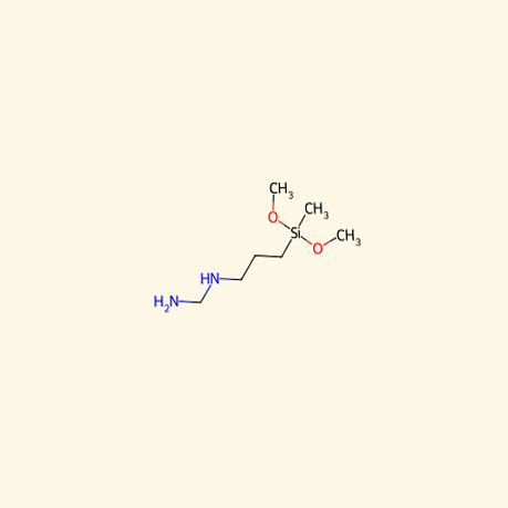 CO[Si](C)(CCCNCN)OC